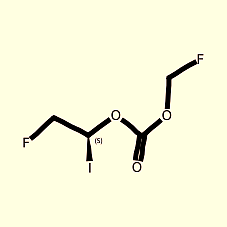 O=C(OCF)O[C@@H](I)CF